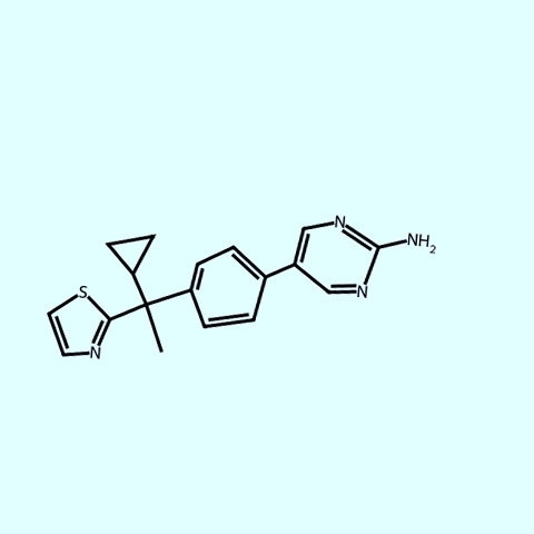 CC(c1ccc(-c2cnc(N)nc2)cc1)(c1nccs1)C1CC1